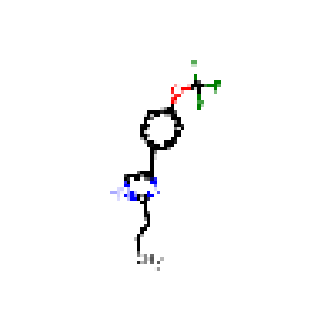 [CH2]CCc1nc(-c2ccc(OC(F)(F)F)cc2)c[nH]1